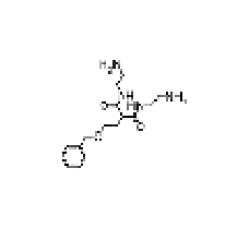 NCCNC(=O)C(CCOCc1ccccc1)C(=O)NCCN